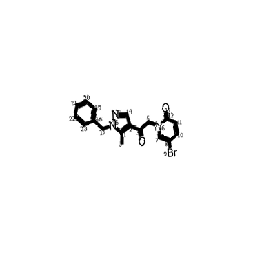 Cc1c(C(=O)Cn2cc(Br)ccc2=O)cnn1Cc1ccccc1